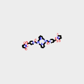 O=C(ON1C(=O)CCC1=O)C1CCN(C(=O)CN2Cc3cccc(n3)CN(CC(=O)N3CCC(C(=O)ON4C(=O)CCC4=O)CC3)Cc3cccc(n3)C2)CC1